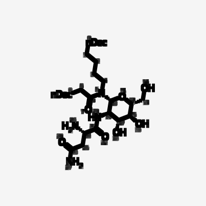 CCCCCCCCCCCCCCN(C(=O)CCCCCCCCCCC)[C@@H]1O[C@H](CO)[C@@H](O)[C@H](O)[C@H]1NC(=O)[C@@H](N)CC(N)=O